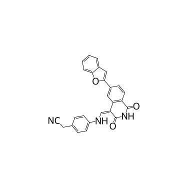 N#CCc1ccc(NC=C2C(=O)NC(=O)c3ccc(-c4cc5ccccc5o4)cc32)cc1